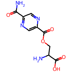 NC(=O)c1cnc(C(=O)OCC(N)C(=O)O)cn1